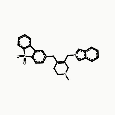 CN1CCC(Cc2ccc3c(c2)-c2ccccc2S3(=O)=O)=C(Cn2cc3ccccc3c2)C1